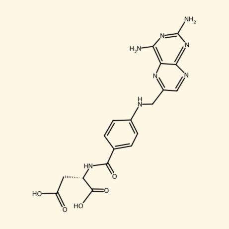 Nc1nc(N)c2nc(CNc3ccc(C(=O)N[C@@H](CC(=O)O)C(=O)O)cc3)cnc2n1